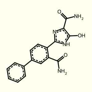 NC(=O)c1cc(-c2ccccc2)ccc1-c1nc(C(N)=O)c(O)[nH]1